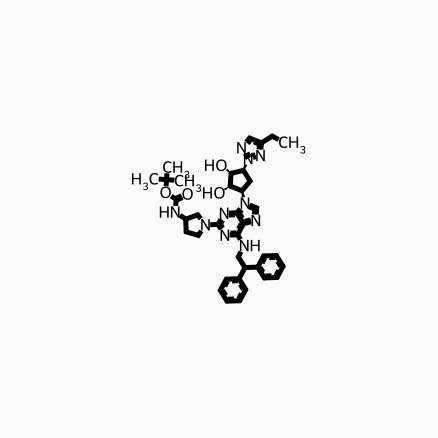 CCc1cnn([C@H]2C[C@@H](n3cnc4c(NCC(c5ccccc5)c5ccccc5)nc(N5CCC(NC(=O)OC(C)(C)C)C5)nc43)[C@H](O)[C@@H]2O)n1